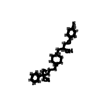 CC(C)C(C#N)(CCCN1CCN(CC(O)COc2ccc(F)cc2)CC1)c1ccccc1